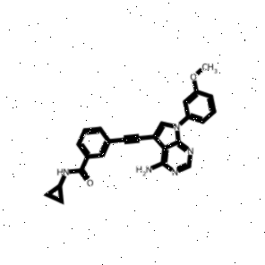 COc1cccc(-n2cc(C#Cc3cccc(C(=O)NC4CC4)c3)c3c(N)ncnc32)c1